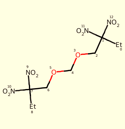 CCC(COCOCC(CC)([N+](=O)[O-])[N+](=O)[O-])([N+](=O)[O-])[N+](=O)[O-]